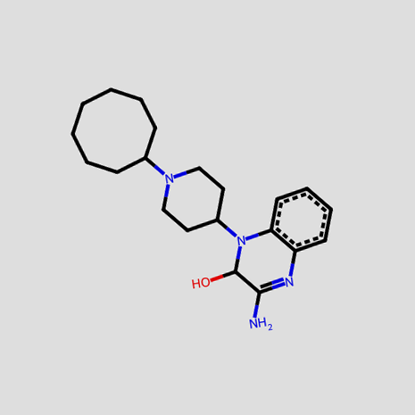 NC1=Nc2ccccc2N(C2CCN(C3CCCCCCC3)CC2)C1O